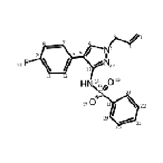 C=CCn1cc(-c2ccc(F)cc2)c(NS(=O)(=O)c2ccccc2)n1